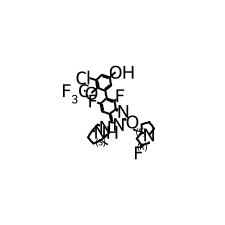 C[C@]12CCC(CN(c3nc(OC[C@@]45CCCN4C[C@H](F)C5)nc4c(F)c(-c5cc(O)cc(Cl)c5OC(F)(F)F)c(F)cc34)C1)N2